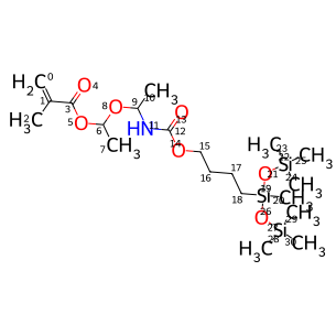 C=C(C)C(=O)OC(C)OC(C)NC(=O)OCCCC[Si](C)(O[Si](C)(C)C)O[Si](C)(C)C